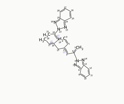 C=C/C(=C\C(=C)n1nc2ccccc2n1)CC(=C/C)/C=C(\C)n1nc2ccccc2n1